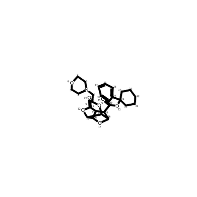 O=C(CN1CCOCC1)OC1C2OC(=O)C3C2OC1C3C(=O)OC1(c2ccccc2)CCCCC1